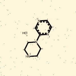 Cl.c1cnc(N2CCNCC2)cn1